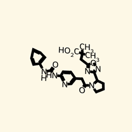 CC(C)(Cc1nc(C2CCCN2C(=O)Cc2ccc(NC(=O)Nc3ccccc3)nc2)no1)C(=O)O